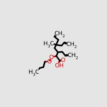 C=CCC(CC(C)(CC=C)CC=C)C(OOCCCC)C(=O)O